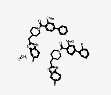 C=O.COc1cc(-c2ccccc2)ccc1C(=O)N1CCC(Cc2nc3cc(F)ccc3[nH]2)CC1.COc1cc(-c2ccccc2F)ccc1C(=O)N1CCC(Cc2nc3cc(F)ccc3[nH]2)CC1